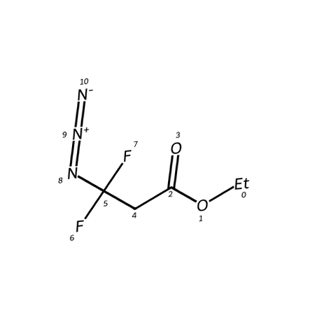 CCOC(=O)CC(F)(F)N=[N+]=[N-]